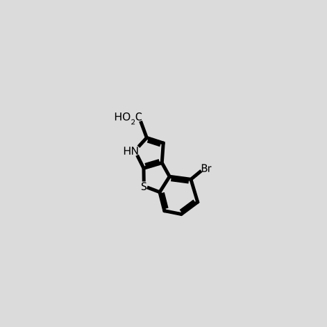 O=C(O)c1cc2c([nH]1)sc1cccc(Br)c12